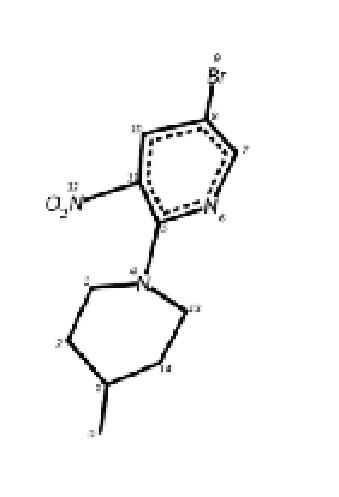 CC1CCN(c2ncc(Br)cc2[N+](=O)[O-])CC1